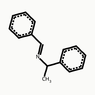 CC(/N=C/c1ccccc1)c1ccccc1